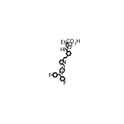 CCC(CC)(CC(=O)Nc1cccc(C=Cc2cccc(CN3CCN(C(c4ccc(F)cc4)c4ccc(F)cc4)CC3)n2)c1)C(=O)O